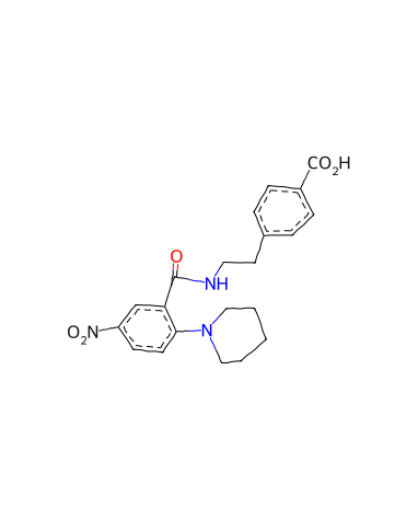 O=C(O)c1ccc(CCNC(=O)c2cc([N+](=O)[O-])ccc2N2CCCCC2)cc1